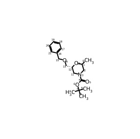 CC1CN(C(=O)OC(C)(C)C)C[C@H](COCc2ccccc2)O1